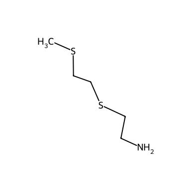 CSCCSCCN